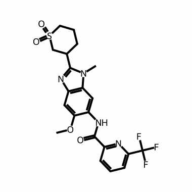 COc1cc2nc(C3CCCS(=O)(=O)C3)n(C)c2cc1NC(=O)c1cccc(C(F)(F)F)n1